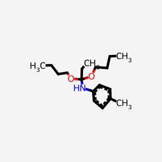 CCCCOC(CC)(Nc1ccc(C)cc1)OCCCC